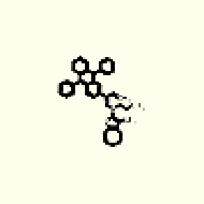 C=C/C(=C\N(CCC)c1sc2c(c1C)CCCC=C2)c1ccc2c(-c3ccccc3)c3c(c(-c4ccccc4)c2c1)C=CCC3